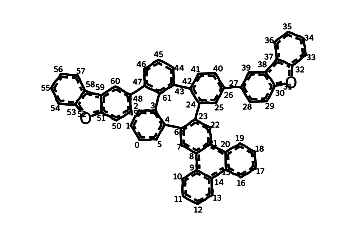 c1ccc2c(c1)-c1cc3c4ccccc4c4ccccc4c3cc1-c1cc(-c3ccc4oc5ccccc5c4c3)ccc1-c1cccc(-c3ccc4oc5ccccc5c4c3)c1-2